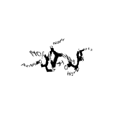 CC(=O)NOCC1=C(C(=O)O)N2C(=O)C(NC(=O)/C(=N\O)c3csc(N)n3)[C@H]2SC1.[NaH]